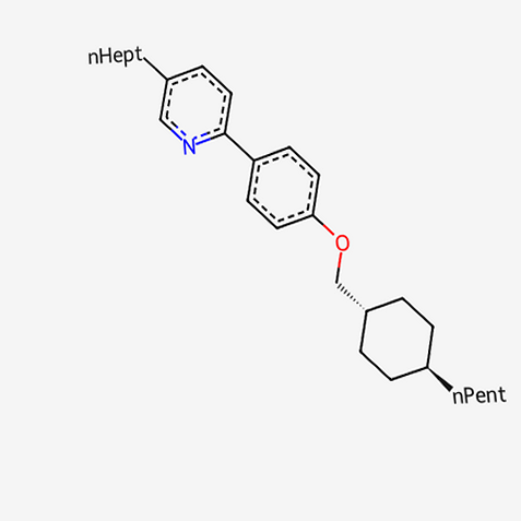 CCCCCCCc1ccc(-c2ccc(OC[C@H]3CC[C@H](CCCCC)CC3)cc2)nc1